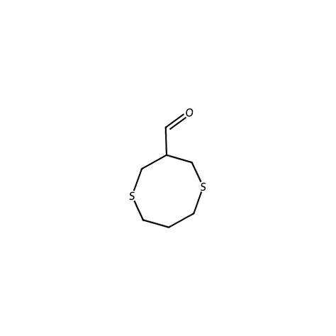 O=CC1CSCCCSC1